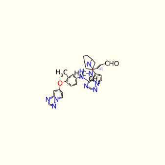 Cc1cc(Nc2ncnn3ccc(C4CC5CCC(C4)N5C(/C=C/C=O)N(C)C)c23)ccc1Oc1ccn2ncnc2c1